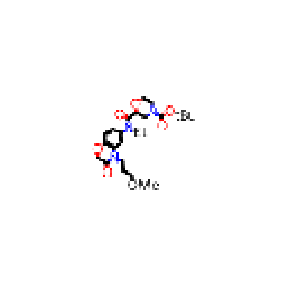 CCN(C(=O)C1CN(C(=O)OC(C)(C)C)CCO1)c1ccc2c(c1)N(CCCOC)C(=O)CO2